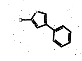 Clc1cc(-c2[c]cccc2)cs1